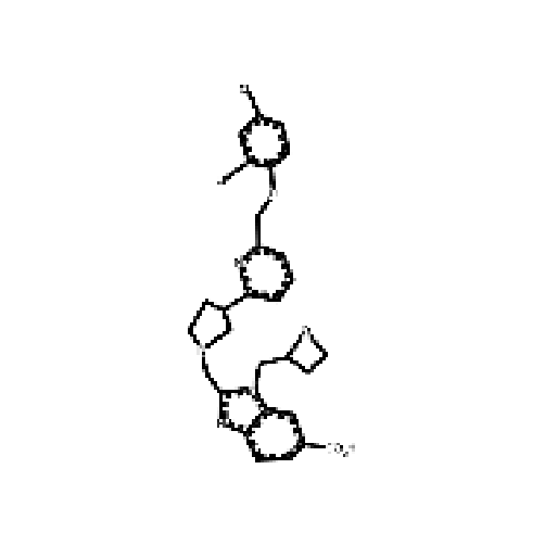 O=C(O)c1ccc2nc(CN3CCC(c4cccc(COc5ccc(Cl)cc5Cl)n4)C3)n(CC3CCO3)c2c1